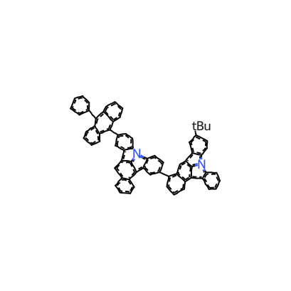 CC(C)(C)c1ccc2c(c1)c1cc3c(-c4ccc5c(c4)c4c6ccccc6cc6c7cc(-c8c9ccccc9c(-c9ccccc9)c9ccccc89)ccc7n5c64)cccc3c3c4ccccc4n2c13